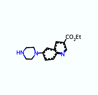 CCOC(=O)c1cnc2ccc(N3CCNCC3)cc2c1